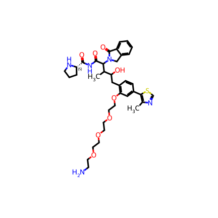 Cc1ncsc1-c1ccc(CC(O)C(C)C(C(=O)NC(=O)[C@@H]2CCCN2)N2Cc3ccccc3C2=O)c(OCCOCCOCCOCCN)c1